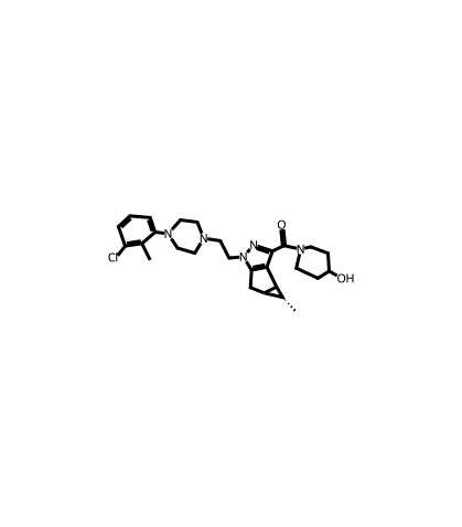 Cc1c(Cl)cccc1N1CCN(CCn2nc(C(=O)N3CCC(O)CC3)c3c2CC2C3[C@@H]2C)CC1